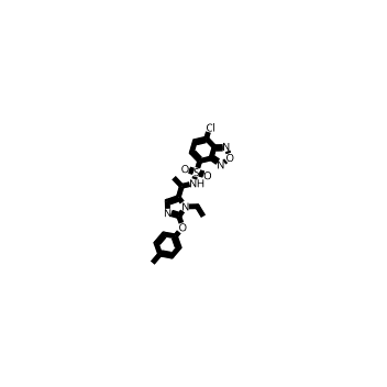 CCn1c(C(C)NS(=O)(=O)c2ccc(Cl)c3nonc23)cnc1Oc1ccc(C)cc1